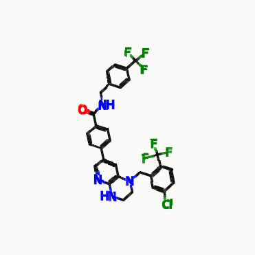 O=C(NCc1ccc(C(F)(F)F)cc1)c1ccc(-c2cnc3c(c2)N(Cc2cc(Cl)ccc2C(F)(F)F)CCN3)cc1